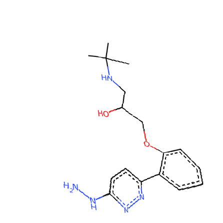 CC(C)(C)NCC(O)COc1ccccc1-c1ccc(NN)nn1